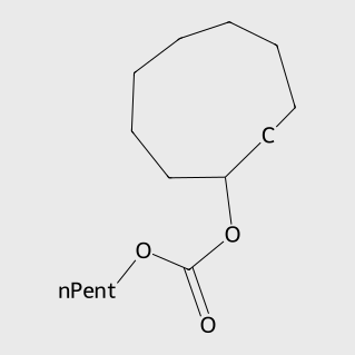 CCCCCOC(=O)OC1CCCCCCCC1